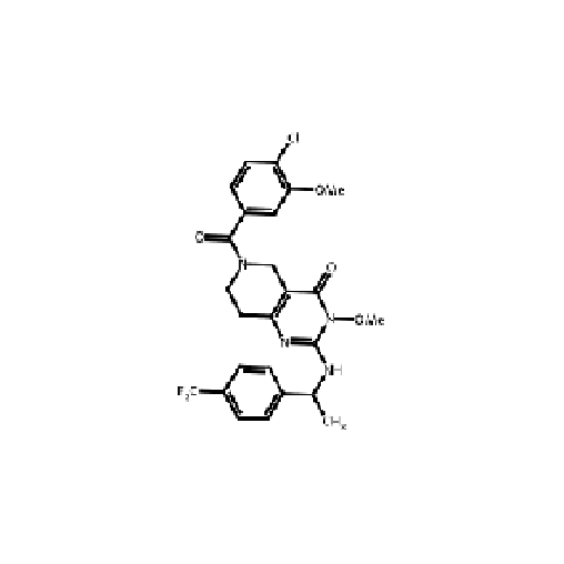 COc1cc(C(=O)N2CCc3nc(NC(C)c4ccc(C(F)(F)F)cc4)n(OC)c(=O)c3C2)ccc1Cl